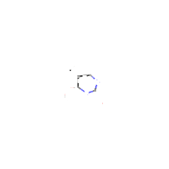 [2H]C([2H])(O)c1cnc(OC)nc1OC